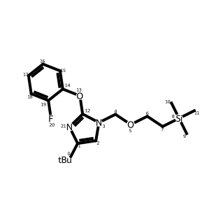 CC(C)(C)c1cn(COCC[Si](C)(C)C)c(Oc2ccccc2F)n1